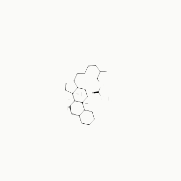 CC(=O)OCC(C)[C@@H](C)CC[C@@H](C)[C@H]1CC[C@H]2[C@@H]3CCC4CCCC[C@]4(C)[C@H]3CC[C@]12C